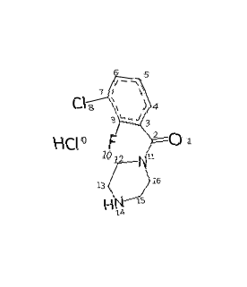 Cl.O=C(c1cccc(Cl)c1F)N1CCNCC1